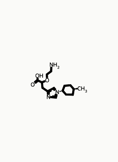 C[C@H]1CC[C@H](n2cnc(CC(OCCN)C(=O)O)c2)CC1